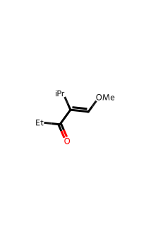 CCC(=O)/C(=C/OC)C(C)C